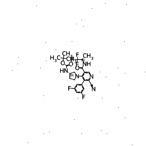 C[C@H](NC(=O)c1cnc(C#N)c(-c2cc(F)cc(F)c2)c1N1CC[C@H](NC(=O)OC(C)(C)C)C1)C(F)(F)F